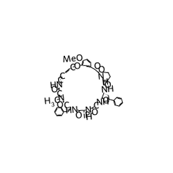 COc1ccc2cc1OCC=CCCNC(=O)CN(C)C(=O)CC(Cc1ccccc1)NC(=O)C(C(C)C)NC(=O)CNC(=O)[C@@H](CCc1ccccc1)NC(=O)[C@@H]1CCCCN1C(=O)C2=O